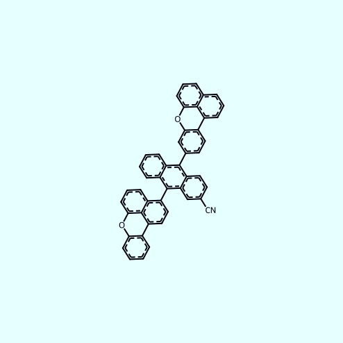 N#Cc1ccc2c(-c3ccc4c(c3)Oc3cccc5cccc-4c35)c3ccccc3c(-c3ccc4c5c(cccc35)Oc3ccccc3-4)c2c1